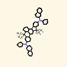 CC1(C)c2cc(N(c3ccccc3)c3ccc4ccccc4c3)ccc2-c2c1cc1c3c(cccc23)C(C)(C)c2cc(N(c3ccccc3)c3ccc4ccccc4c3)ccc2-1